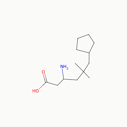 CC(C)(CC(N)CC(=O)O)CC1CCCC1